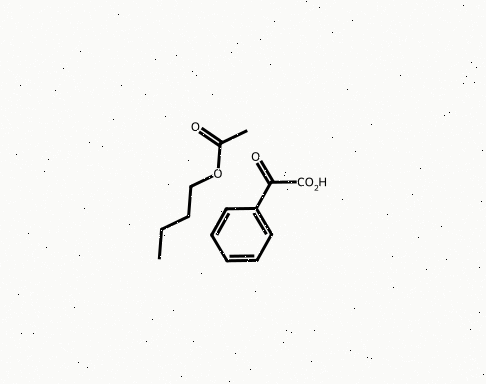 CCCCOC(C)=O.O=C(O)C(=O)c1ccccc1